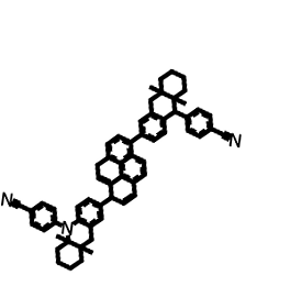 CC12CCCCC1(C)C(c1ccc(C#N)cc1)c1ccc(-c3ccc4c5c6c(ccc35)C=CC(c3ccc5c(c3)CC3(C)CCCCC3(C)N5c3ccc(C#N)cc3)C6=CC4)cc1C2